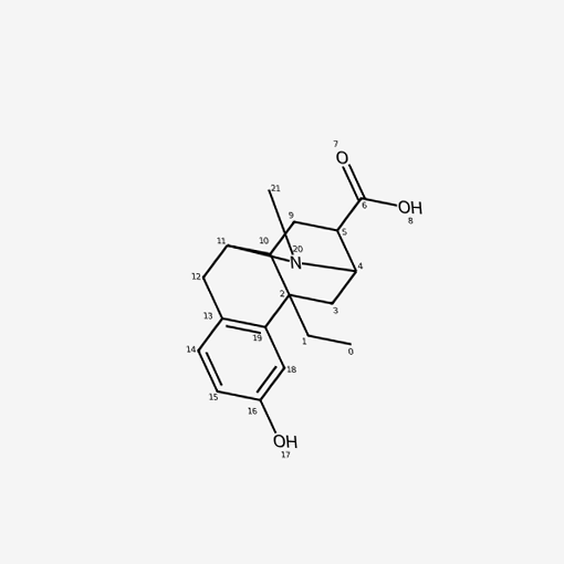 CCC12CC3C(C(=O)O)CC1C(Cc1ccc(O)cc12)N3C